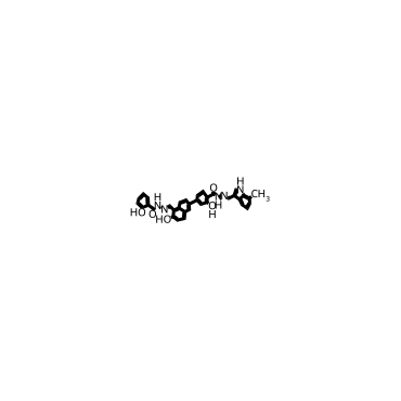 Cc1cccc2c(/C=N/NC(=O)c3ccc(-c4ccc5c(/C=N/NC(=O)c6ccccc6O)c(O)ccc5c4)cc3O)c[nH]c12